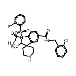 CC(=O)[N+]1(S(=O)(=O)c2ccccc2F)c2ccc(C(=O)NCc3ccccc3Cl)cc2C2(CCNCC2)C1C